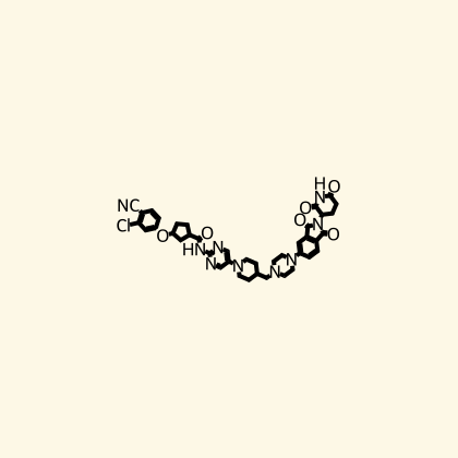 N#Cc1ccc(OC2CCC(C(=O)Nc3ncc(N4CCC(CN5CCN(c6ccc7c(c6)C(=O)N(C6CCC(=O)NC6=O)C7=O)CC5)CC4)cn3)C2)cc1Cl